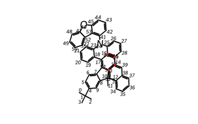 CC(C)(C)c1ccc2c(c1)C(C)(C)c1cccc(-c3ccccc3N(c3cccc(-c4ccc5ccccc5c4)c3)c3cccc4oc5ccccc5c34)c1-2